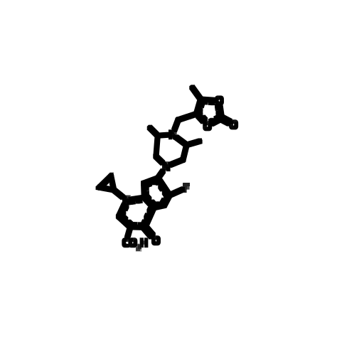 Cc1oc(=O)oc1CN1C(C)CN(c2cc3c(cc2F)c(=O)c(C(=O)O)cn3C2CC2)CC1C